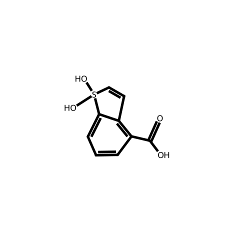 O=C(O)c1cccc2c1C=CS2(O)O